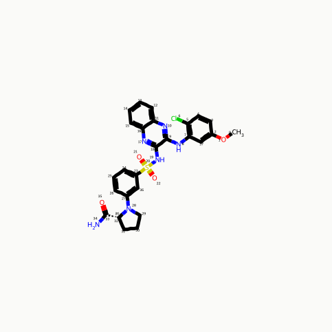 COc1ccc(Cl)c(Nc2nc3ccccc3nc2NS(=O)(=O)c2cccc(N3CCC[C@@H]3C(N)=O)c2)c1